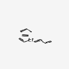 C=C.C=CC.C=CC=C.C=CCC